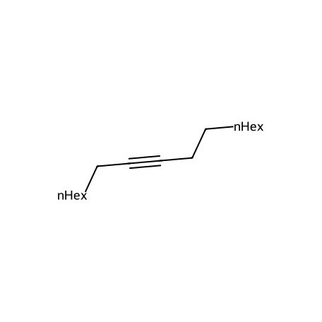 [CH2]CCCCCCC#CCCCCCCC[CH2]